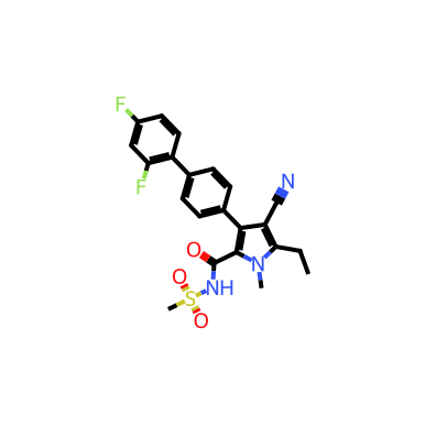 CCc1c(C#N)c(-c2ccc(-c3ccc(F)cc3F)cc2)c(C(=O)NS(C)(=O)=O)n1C